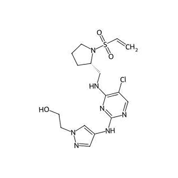 C=CS(=O)(=O)N1CCC[C@H]1CNc1nc(Nc2cnn(CCO)c2)ncc1Cl